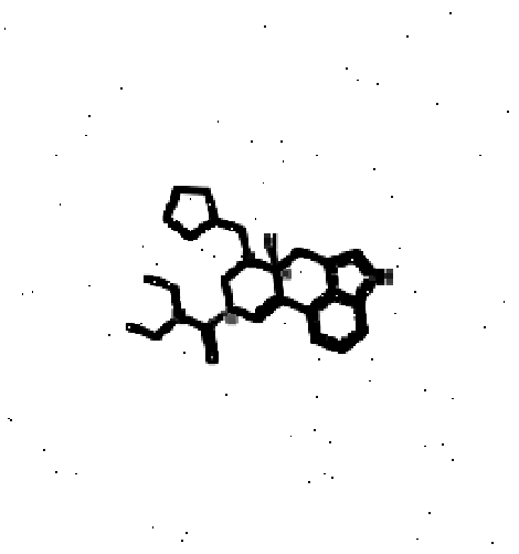 CCN(CC)C(=O)[C@H]1C=C2c3cccc4[nH]cc(c34)C[C@H]2N(CC2CCCC2)C1